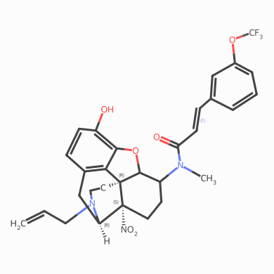 C=CCN1CC[C@]23c4c5ccc(O)c4OC2C(N(C)C(=O)/C=C/c2cccc(OC(F)(F)F)c2)CC[C@@]3([N+](=O)[O-])[C@H]1C5